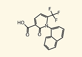 O=C(O)c1ccc(C(F)(F)F)n(-c2cccc3ccccc23)c1=O